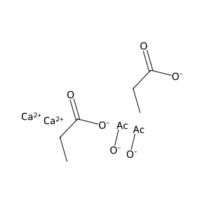 CC(=O)[O-].CC(=O)[O-].CCC(=O)[O-].CCC(=O)[O-].[Ca+2].[Ca+2]